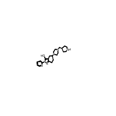 Oc1c2c(nn1-c1ccccn1)CCC(N1CCN(CC3CCNCC3)CC1)C2